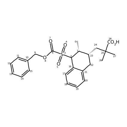 C[C@H]1C(S(=O)(=O)C(=O)OCc2ccccc2)c2ccccc2C[C@H]1CC(C)(C)C(=O)O